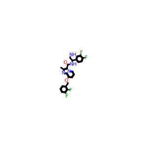 Cc1nc2c(OCc3cccc(F)c3F)cccn2c1C(=O)NC(CN)c1ccc(F)c(F)c1